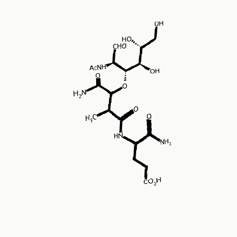 CC(=O)N[C@@H](C=O)[C@@H](OC(C(N)=O)C(C)C(=O)NC(CCC(=O)O)C(N)=O)[C@H](O)[C@H](O)CO